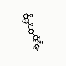 Cn1cc(Nc2ncc(-c3ccc(CC(=O)NCc4c(Cl)cccc4Cl)cc3)cn2)cn1